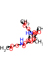 C=CC(=O)OCCOCCNC(=O)OCC(COCC(C)OCC(COC(=O)C=C)OC(=O)NCCOCCOC(=O)C=C)OC(=O)C=C